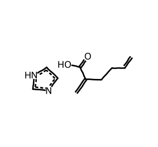 C=CCCC(=C)C(=O)O.c1c[nH]cn1